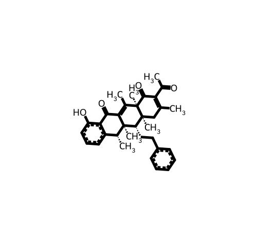 CC(=O)C1=C(C)C[C@@]2(C)[C@H](CCc3ccccc3)[C@]3(C)C(=C(C)[C@@]2(C)C1=O)C(=O)c1c(O)cccc1[C@H]3C